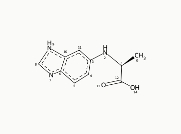 C[C@H](Nc1ccc2nc[nH]c2c1)C(=O)O